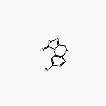 O=c1onc2n1-c1cc(Br)ccc1OC2